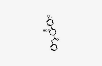 O=C(Oc1ccccn1)N1CCN(c2ccc(C(F)(F)F)cn2)[C@@H](O)C1